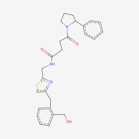 O=C(CCC(=O)N1CCCC1c1ccccc1)NCc1nc(Cc2ccccc2CO)cs1